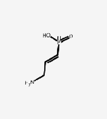 NCC=C[PH](=O)O